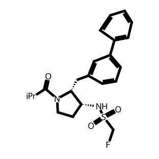 CC(C)C(=O)N1CC[C@@H](NS(=O)(=O)CF)[C@H]1Cc1cccc(-c2ccccc2)c1